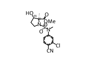 COC(=O)[C@]1(C)[C@H](O)CCN1S(=O)(=O)N(C)c1ccc(C#N)c(Cl)c1